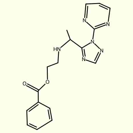 CC(NCCOC(=O)c1ccccc1)c1ncnn1-c1ncccn1